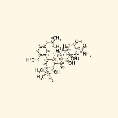 CCc1ccc(CN(C)C)cc1-c1cc(C(C)(C)C)c(O)c2c1C[C@H]1C[C@H]3CC(O)=C(C(N)=O)C(=O)[C@@]3(O)C(O)=C1C2=O